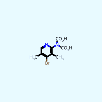 Cc1cnc(N(C(=O)O)C(=O)O)c(C)c1Br